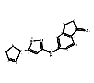 O=C1CCc2cc(Nc3cc([C@@H]4C=CCC4)[nH]n3)ccc21